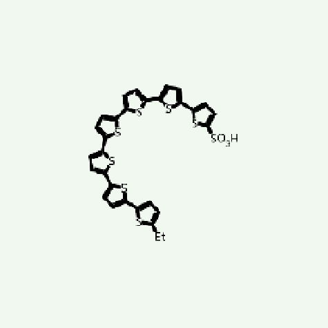 CCc1ccc(-c2ccc(-c3ccc(-c4ccc(-c5ccc(-c6ccc(-c7ccc(S(=O)(=O)O)s7)s6)s5)s4)s3)s2)s1